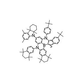 Cc1cc(C)c2c(c1)N(c1cc3c4c(c1)N(c1ccc(C(C)(C)C)cc1)c1c(sc5ccc(C(C)(C)C)cc15)B4c1cc4c(cc1N3c1ccc3c(c1)C(C)(C)CCC3(C)C)C(C)(C)CCC4(C)C)C1(C)CCCCC21C